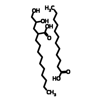 CCCCCCCCCCC(CC(O)CO)C(=O)O.CCCCCCCCCCCC(=O)O